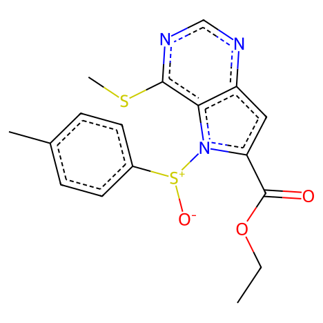 CCOC(=O)c1cc2ncnc(SC)c2n1[S+]([O-])c1ccc(C)cc1